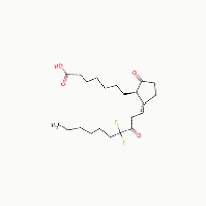 CCCCCCC(F)(F)C(=O)C/C=C1/CCC(=O)[C@@H]1CCCCCCC(=O)O